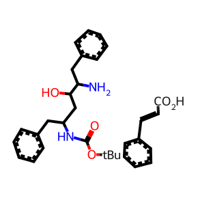 CC(C)(C)OC(=O)NC(Cc1ccccc1)CC(O)C(N)Cc1ccccc1.O=C(O)/C=C/c1ccccc1